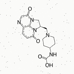 O=C(O)NC1CCN(C[C@@H]2Cn3c(=O)cnc4ccc(=O)n2c43)CC1